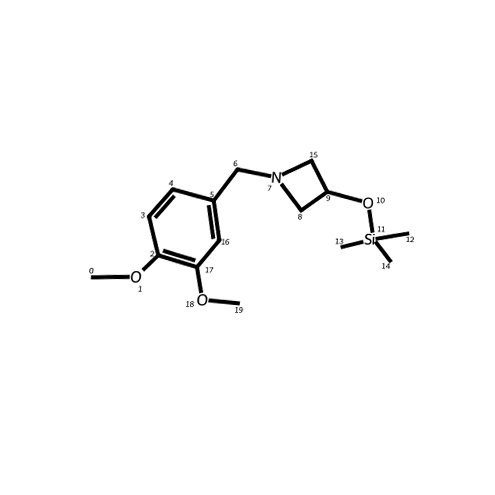 COc1ccc(CN2CC(O[Si](C)(C)C)C2)cc1OC